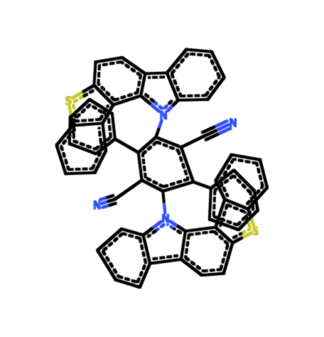 N#Cc1c(-c2ccccc2)c(-n2c3ccccc3c3ccc4sc5ccccc5c4c32)c(C#N)c(-c2ccccc2)c1-n1c2ccccc2c2ccc3sc4ccccc4c3c21